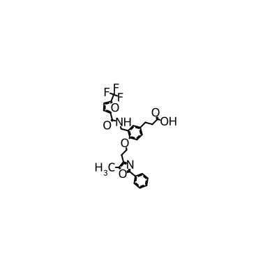 Cc1oc(-c2ccccc2)nc1CCOc1ccc(CCC(=O)O)cc1CNC(=O)c1ccc(C(F)(F)F)o1